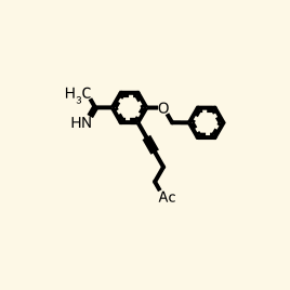 CC(=N)c1ccc(OCc2ccccc2)c(C#CCCC(C)=O)c1